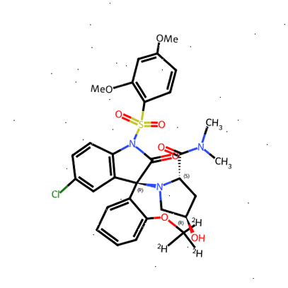 [2H]C([2H])([2H])Oc1ccccc1[C@@]1(N2C[C@H](O)C[C@H]2C(=O)N(C)C)C(=O)N(S(=O)(=O)c2ccc(OC)cc2OC)c2ccc(Cl)cc21